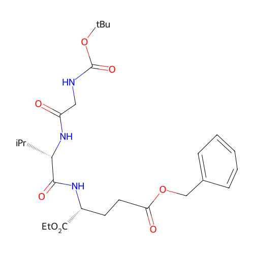 CCOC(=O)[C@@H](CCC(=O)OCc1ccccc1)NC(=O)[C@@H](NC(=O)CNC(=O)OC(C)(C)C)C(C)C